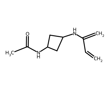 C=CC(=C)NC1CC(NC(C)=O)C1